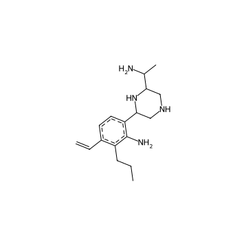 C=Cc1ccc(C2CNCC(C(C)N)N2)c(N)c1CCC